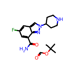 CC(C)(C)OC=O.NC(=O)c1cc(F)cc2cn(C3CCNCC3)nc12